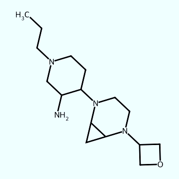 CCCN1CCC(N2CCN(C3COC3)C3CC32)C(N)C1